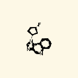 F[C@H]1CC[C@@H](n2cnc3cnc4ccccc4c32)C1